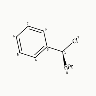 CCC[C@H](Cl)c1ccccc1